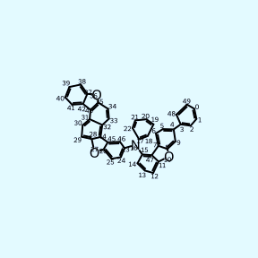 c1ccc(-c2ccc3c(c2)oc2cccc(N(c4ccccc4)c4ccc5oc6ccc7c(ccc8oc9ccccc9c87)c6c5c4)c23)cc1